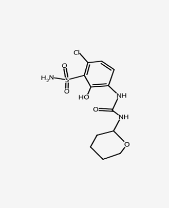 NS(=O)(=O)c1c(Cl)ccc(NC(=O)NC2CCCCO2)c1O